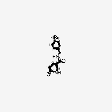 CC(C)(C)c1ccc(CNC(=O)c2ccc(=O)[nH]c2)cc1